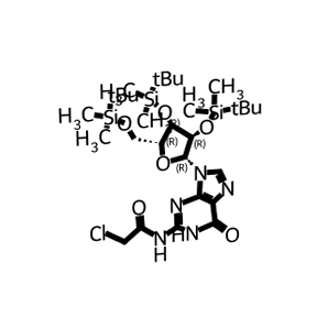 CC(C)(C)[Si](C)(C)OC[C@H]1O[C@@H](n2cnc3c(=O)[nH]c(NC(=O)CCl)nc32)[C@H](O[Si](C)(C)C(C)(C)C)[C@@H]1O[Si](C)(C)C(C)(C)C